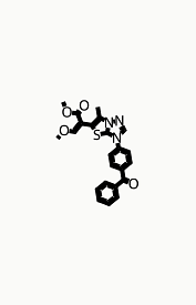 COC=C(C(=O)OC)C1=C(C)N2N=CN(c3ccc(C(=O)c4ccccc4)cc3)C2S1